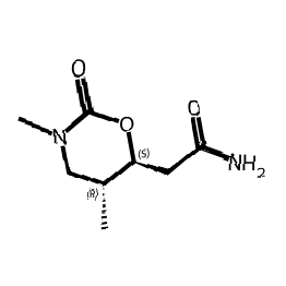 C[C@@H]1CN(C)C(=O)O[C@H]1CC(N)=O